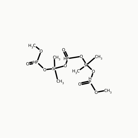 CO[PH](=O)O[Si](C)(C)O[PH](=O)O[Si](C)(C)O[PH](=O)OC